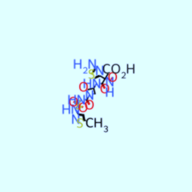 Cc1cc(NS(=O)(=O)NC(=O)N2CC(NC(=O)C3(c4csc(N)n4)NO[C@@H]3C(=O)O)C2=O)ns1